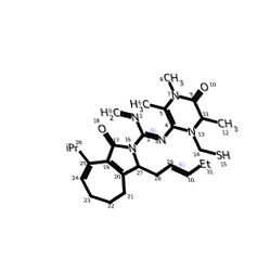 C=N/C(=N\C1=C(C)N(C)C(=O)C(C)N1CS)N1C(=O)C2=C(CCCC=C2C(C)C)C1C/C=C/CC